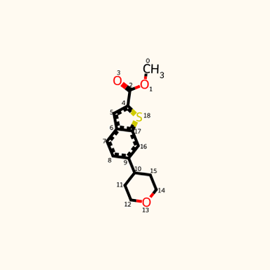 COC(=O)c1cc2ccc(C3CCOCC3)cc2s1